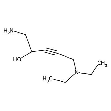 CCN(CC)CC#CC(O)CN